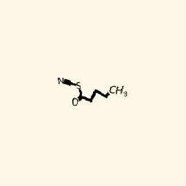 CCCCC(=O)SC#N